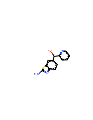 Nc1nc2ccc(C(O)c3ccccn3)cc2s1